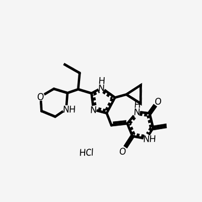 C=c1[nH]c(=O)c(=Cc2nc(C(CC)C3COCCN3)[nH]c2C2CC2)[nH]c1=O.Cl